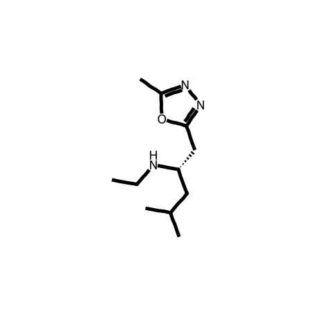 CCN[C@H](Cc1nnc(C)o1)CC(C)C